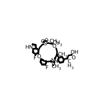 CC(CC(=O)O)c1cccc(C2(C)CCOC(C)(C)CS(=O)(=O)CCc3c(c(F)cc4[nH]ccc34)Oc3ccc(F)c(c3)-c3nc2nn3C)c1